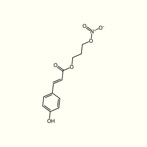 O=C(/C=C/c1ccc(O)cc1)OCCCO[N+](=O)[O-]